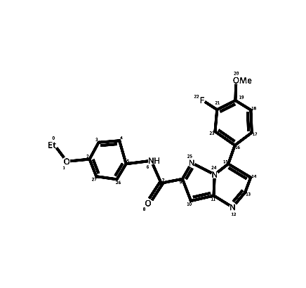 CCOc1ccc(NC(=O)c2cc3nccc(-c4ccc(OC)c(F)c4)n3n2)cc1